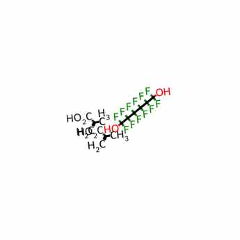 C=C(C)C(=O)O.C=C(C)C(=O)O.OC(F)(F)C(F)(F)C(F)(F)C(F)(F)C(F)(F)C(O)(F)F